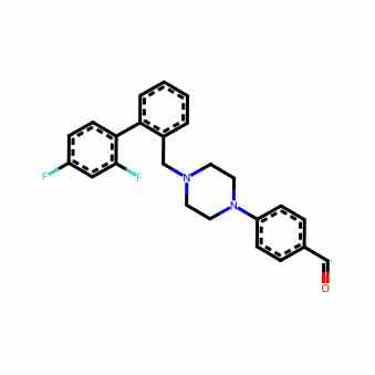 O=[C]c1ccc(N2CCN(Cc3ccccc3-c3ccc(F)cc3F)CC2)cc1